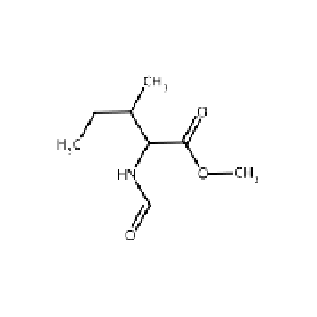 CCC(C)C(NC=O)C(=O)OC